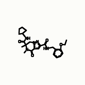 CCOc1ccccc1CNC(=O)c1cc2n(n1)CC(C)(C(=O)NC1CCCC1)N(C)C2=O